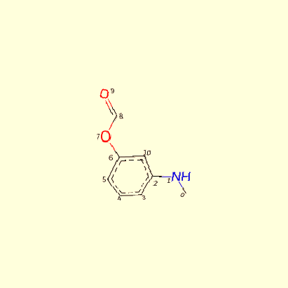 CNc1cccc(OC=O)c1